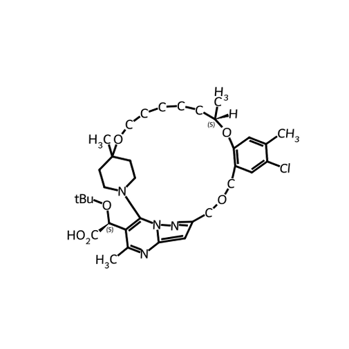 Cc1cc2c(cc1Cl)COCc1cc3nc(C)c([C@H](OC(C)(C)C)C(=O)O)c(n3n1)N1CCC(C)(CC1)OCCCCC[C@H](C)O2